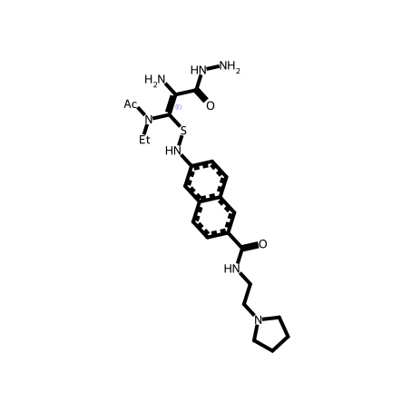 CCN(C(C)=O)/C(SNc1ccc2cc(C(=O)NCCN3CCCC3)ccc2c1)=C(\N)C(=O)NN